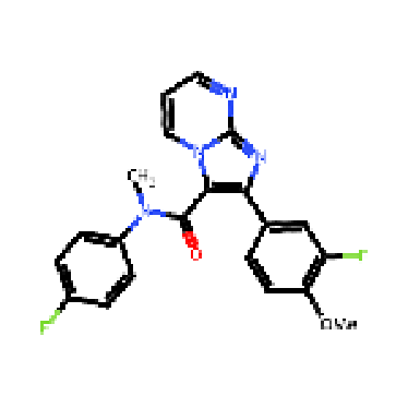 COc1ccc(-c2nc3ncccn3c2C(=O)N(C)c2ccc(F)cc2)cc1F